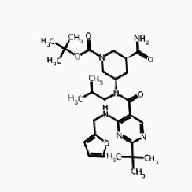 CC(C)CN(C(=O)c1cnc(C(C)(C)C)nc1NCc1ccco1)[C@@H]1C[C@H](C(N)=O)CN(C(=O)OC(C)(C)C)C1